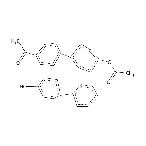 CC(=O)Oc1ccc(-c2ccc(C(C)=O)cc2)cc1.Oc1ccc(-c2ccccc2)cc1